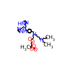 CCCN(CCC)CCCCN(CCC(=O)OCc1oc(=O)oc1C)Cc1ccc(CN(Cc2ncc[nH]2)Cc2ncc[nH]2)cc1